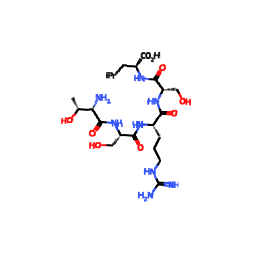 CC(C)C[C@H](NC(=O)[C@H](CO)NC(=O)[C@H](CCCNC(=N)N)NC(=O)[C@H](CO)NC(=O)[C@@H](N)[C@@H](C)O)C(=O)O